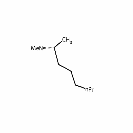 CCCCCC[C@@H](C)NC